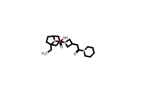 CCC12CCC(CC(N3CC(CC(=O)N4CCCCC4)C3)C1)N2C(=O)O